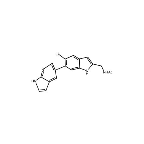 CC(=O)NCc1cc2cc(Cl)c(-c3cnc4[nH]ccc4c3)cc2[nH]1